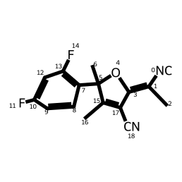 [C-]#[N+]/C(C)=C1\OC(C)(c2ccc(F)cc2F)C(C)=C1C#N